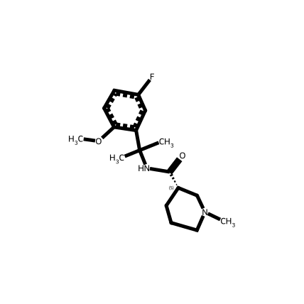 COc1ccc(F)cc1C(C)(C)NC(=O)[C@H]1CCCN(C)C1